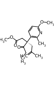 C=C(C)C[C@@](CC(=O)OC)(C(=O)CC)c1ccc(OC)nc1C